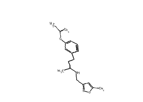 Cc1cc(CNC(C)CCc2cccc(OC(C)C)c2)no1